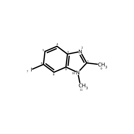 Cc1nc2ccc(I)cc2n1C